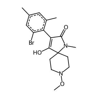 CON1CCC2(CC1)C(O)=C(c1c(C)cc(C)cc1Br)C(=O)N2C